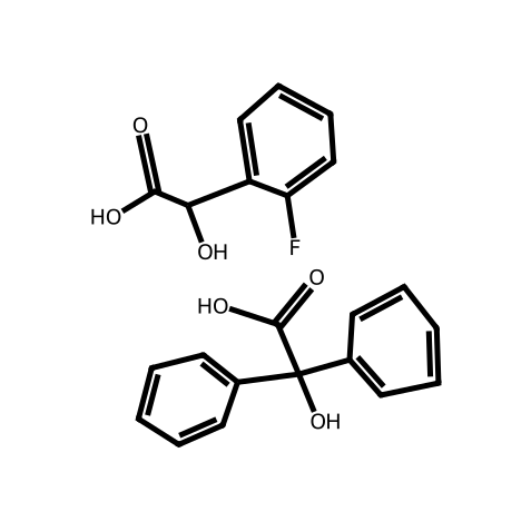 O=C(O)C(O)(c1ccccc1)c1ccccc1.O=C(O)C(O)c1ccccc1F